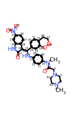 CN1CCN(CC(=O)N(C)c2ccc(N/C(=C3\C(=O)Nc4cc([N+](=O)[O-])ccc43)c3ccc4c(c3)OOCC4)cc2)CC1